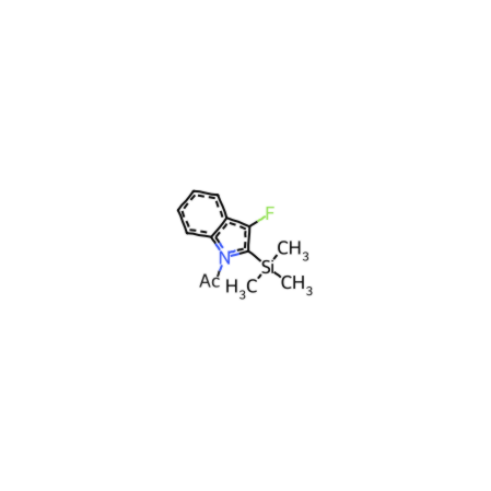 CC(=O)n1c([Si](C)(C)C)c(F)c2ccccc21